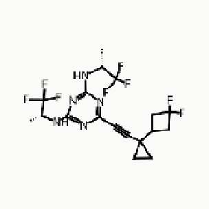 C[C@@H](Nc1nc(C#CC2(C3CC(F)(F)C3)CC2)nc(N[C@H](C)C(F)(F)F)n1)C(F)(F)F